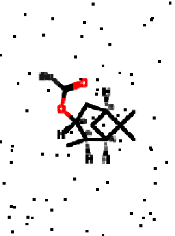 CCC(C)C(=O)O[C@@H]1C[C@@H]2C[C@H]([C@H]1C)C2(C)C